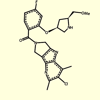 COC[C@@H]1C[C@H](Oc2cc(F)ccc2C(=O)N2Cc3nn4c(C)c(Cl)c(C)nc4c3C2)CN1